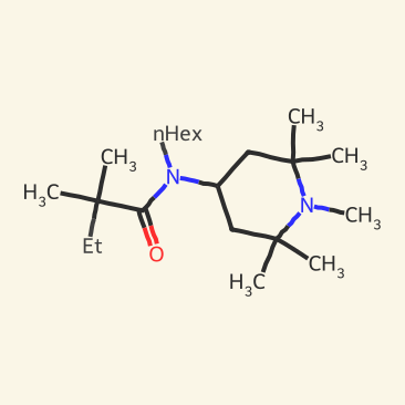 CCCCCCN(C(=O)C(C)(C)CC)C1CC(C)(C)N(C)C(C)(C)C1